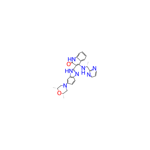 C[C@@H]1CN(c2ccc3nc(-c4c(N[C@H](C)c5ncccn5)c5ccccc5[nH]c4=O)[nH]c3c2)C[C@H](C)O1